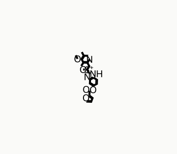 COc1c(C)cnc(C[S+]([O-])c2nc3cc(OC(=O)c4ccco4)ccc3[nH]2)c1C